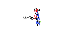 COc1ccc(COc2cc(-c3cc(F)c4nc(C)cn4c3)nc3ccn(C4CCN(C(=O)OC(C)(C)C)CC4)c(=O)c23)cc1